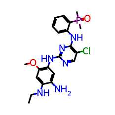 CCNc1cc(OC)c(Nc2ncc(Cl)c(Nc3ccccc3P(C)(C)=O)n2)cc1N